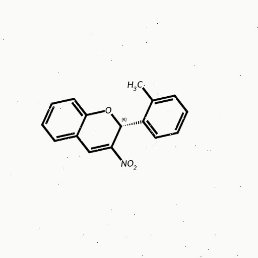 Cc1ccccc1[C@H]1Oc2ccccc2C=C1[N+](=O)[O-]